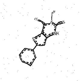 CCCn1c(=S)[nH]c2cc(-c3ccccc3)sc2c1=O